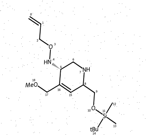 C=CCON[C@@H]1CNC(CO[Si](C)(C)C(C)(C)C)C=C1COC